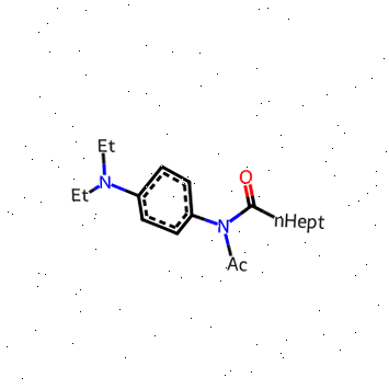 CCCCCCCC(=O)N(C(C)=O)c1ccc(N(CC)CC)cc1